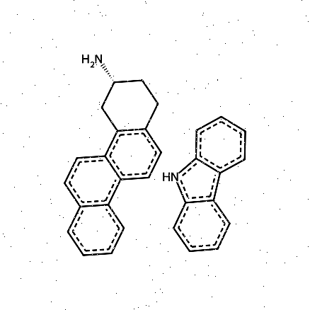 N[C@@H]1CCc2ccc3c(ccc4ccccc43)c2C1.c1ccc2c(c1)[nH]c1ccccc12